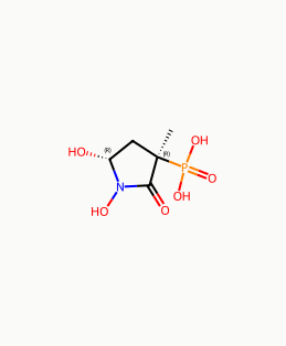 C[C@@]1(P(=O)(O)O)C[C@@H](O)N(O)C1=O